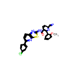 COc1ccccc1-c1nc(C#N)ccc1C(=O)Nc1nc2ccc(-c3ccc(Cl)cc3)nc2s1